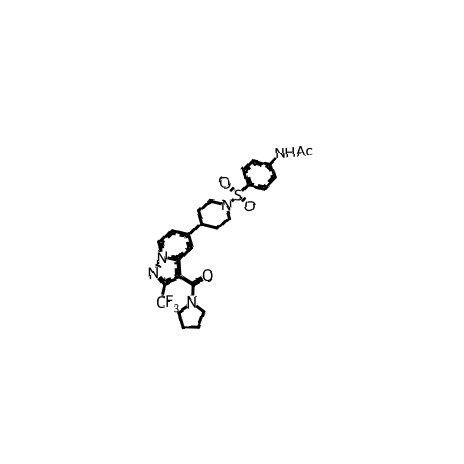 CC(=O)Nc1ccc(S(=O)(=O)N2CCC(c3ccn4nc(C(F)(F)F)c(C(=O)N5CCCC5)c4c3)CC2)cc1